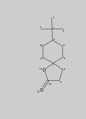 CC(C)(C)C1CCC2(CCC(=O)O2)CC1